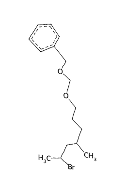 CC(Br)CC(C)CCCOCOCc1ccccc1